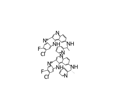 CC(Nc1ccc2ncc(C#N)c(Nc3ccc(F)c(Cl)c3)c2c1)c1ccccn1.C[C@@H](Nc1ccc2ncc(C#N)c(Nc3ccc(F)c(Cl)c3)c2c1)c1ccccn1